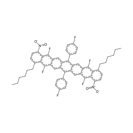 CCCCCCc1ccc([N+](=O)[O-])c2c(F)c3cc4c(-c5ccc(F)cc5)c5cc6c(F)c7c(CCCCCC)ccc([N+](=O)[O-])c7c(F)c6cc5c(-c5ccc(F)cc5)c4cc3c(F)c12